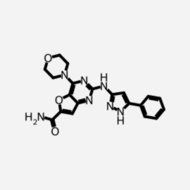 NC(=O)c1cc2nc(Nc3cc(-c4ccccc4)[nH]n3)nc(N3CCOCC3)c2o1